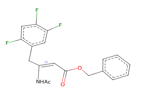 CC(=O)N/C(=C\C(=O)OCc1ccccc1)Cc1cc(F)c(F)cc1F